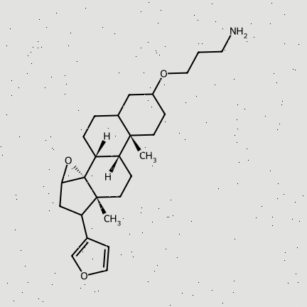 C[C@]12CCC(OCCCN)CC1CC[C@@H]1[C@H]2CC[C@]2(C)C(c3ccoc3)CC3O[C@]312